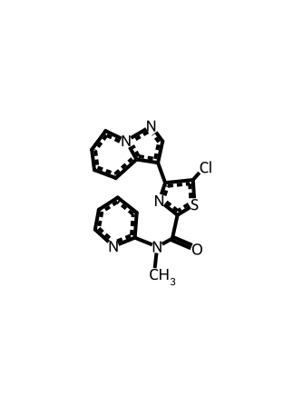 CN(C(=O)c1nc(-c2cnn3ccccc23)c(Cl)s1)c1ccccn1